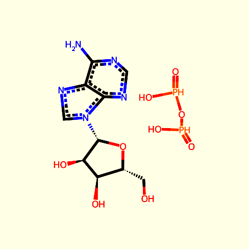 Nc1ncnc2c1ncn2[C@@H]1O[C@H](CO)[C@@H](O)[C@H]1O.O=[PH](O)O[PH](=O)O